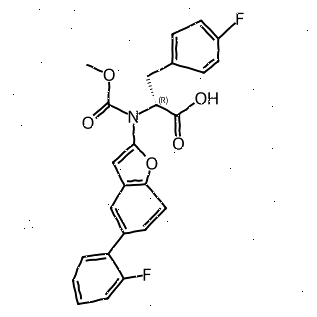 COC(=O)N(c1cc2cc(-c3ccccc3F)ccc2o1)[C@H](Cc1ccc(F)cc1)C(=O)O